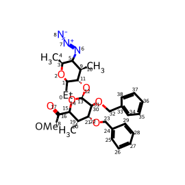 CCC1O[C@@H](C)C(N=[N+]=[N-])[C@@H](C)[C@@H]1O[C@@H]1OC(C(=O)OC)[C@@H](C)[C@@H](OCc2ccccc2)C1OCc1ccccc1